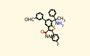 CNC(=O)c1c(-c2ccc(F)cc2)sc2c(C(C)(N)c3ccccc3)cc(-c3cccc(C=O)c3)cc12